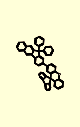 c1ccc(C2(c3ccccc3)c3cc(-c4ccc5c(c4)C4(c6ccccc6O5)c5ccccc5-c5ccccc54)ccc3-c3cc4ccccc4cc32)cc1